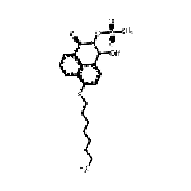 CCCCCCCCSc1ccc2c3c(cccc13)C(=O)N(OS(C)(=O)=O)C2O